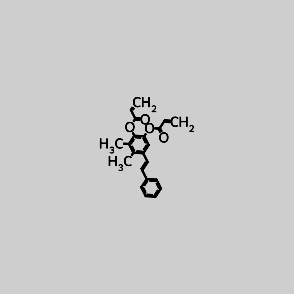 C=CC(=O)Oc1cc(C=Cc2ccccc2)c(C)c(C)c1OC(=O)C=C